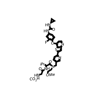 COCCN(Cc1ccc(-c2cc3nccc(Oc4ccc(NC(=O)NC5CC5)cc4F)c3s2)nc1)C(=O)C(NC(=O)CNC(=O)O)C(C)C